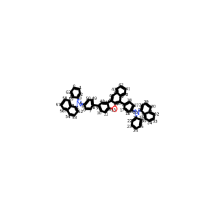 c1ccc(N(c2ccc(-c3ccc4oc5c(-c6ccc(N(c7ccccc7)c7cccc8ccccc78)cc6)c6ccccc6cc5c4c3)cc2)c2cccc3ccccc23)cc1